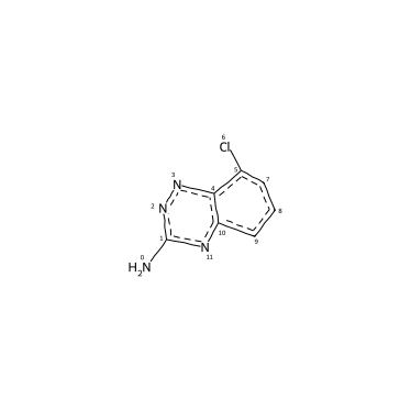 Nc1nnc2c(Cl)cccc2n1